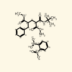 COC(=O)C(Cc1ccccc1)CC(C(=O)ON)C(=O)OC(C)(C)C.O=[N+]([O-])c1ccccc1[N+](=O)[O-]